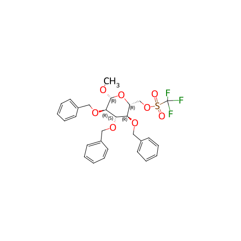 CO[C@@H]1O[C@H](COS(=O)(=O)C(F)(F)F)[C@@H](OCc2ccccc2)[C@H](OCc2ccccc2)[C@H]1OCc1ccccc1